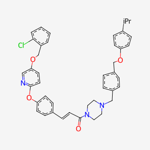 CC(C)c1ccc(OCc2ccc(CN3CCN(C(=O)C=Cc4ccc(Oc5ccc(OCc6ccccc6Cl)cn5)cc4)CC3)cc2)cc1